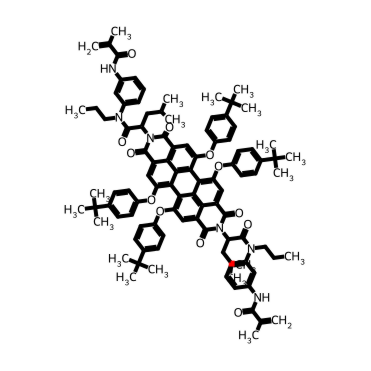 C=C(C)C(=O)Nc1cccc(N(CCC)C(=O)C(CC(C)C)N2C(=O)c3cc(Oc4ccc(C(C)(C)C)cc4)c4c5c(Oc6ccc(C(C)(C)C)cc6)cc6c7c(cc(Oc8ccc(C(C)(C)C)cc8)c(c8c(Oc9ccc(C(C)(C)C)cc9)cc(c3c48)C2=O)c75)C(=O)N(C(CC(C)C)C(=O)N(CCC)c2cccc(NC(=O)C(=C)C)c2)C6=O)c1